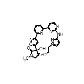 COCCn1ccc(Nc2nccc(-c3cccc(-c4cc([C@]5(O)CCN(C)C5=O)on4)n3)n2)n1